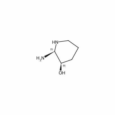 N[C@H]1NCCC[C@H]1O